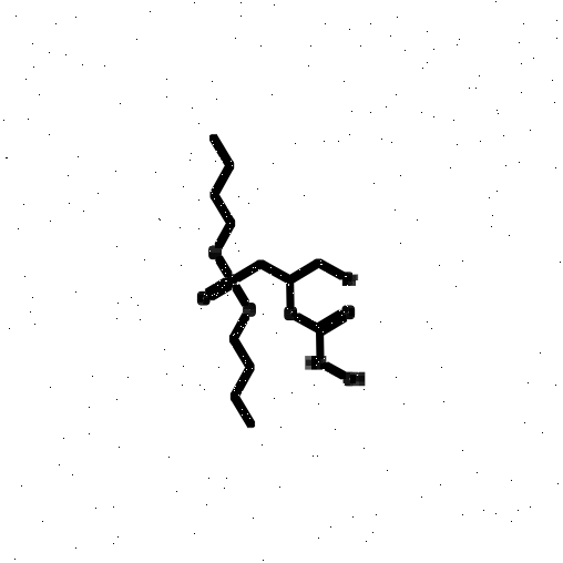 CCCCOP(=O)(CC(CBr)OC(=O)NO)OCCCC